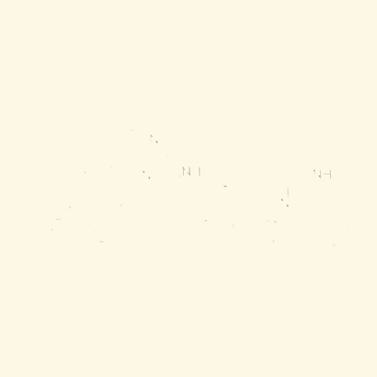 Nc1ccccc1NC(=O)c1ccc(CNc2nccc(-c3ccc(F)c(F)c3)n2)cc1